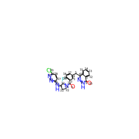 O=C(c1cc(Cc2n[nH]c(=O)c3ccccc23)ccc1F)N1CCC(Nc2ccc(Cl)nn2)C1